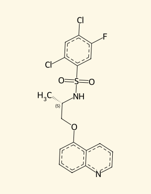 C[C@@H](COc1cccc2ncccc12)NS(=O)(=O)c1cc(F)c(Cl)cc1Cl